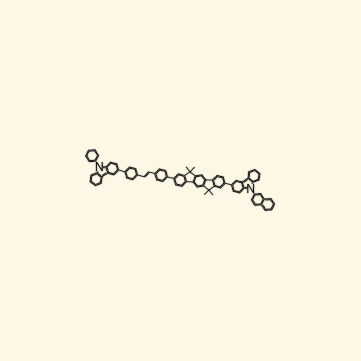 CC1(C)c2cc(-c3ccc(/C=C/c4ccc(-c5ccc6c(c5)c5ccccc5n6-c5ccccc5)cc4)cc3)ccc2-c2cc3c(cc21)-c1ccc(-c2ccc4c(c2)c2ccccc2n4-c2ccc4ccccc4c2)cc1C3(C)C